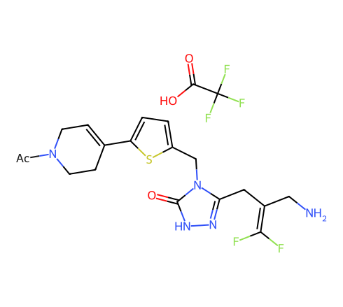 CC(=O)N1CC=C(c2ccc(Cn3c(CC(CN)=C(F)F)n[nH]c3=O)s2)CC1.O=C(O)C(F)(F)F